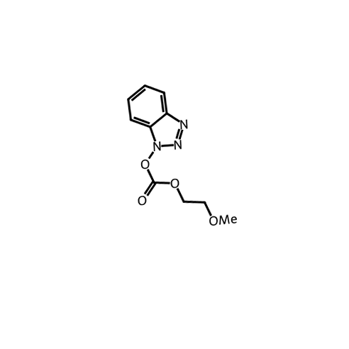 COCCOC(=O)On1nnc2ccccc21